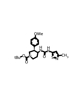 COc1ccc([C@@H]2CN(C(=O)OC(C)(C)C)CCC2NC(=O)Nc2cc(C)ns2)cc1